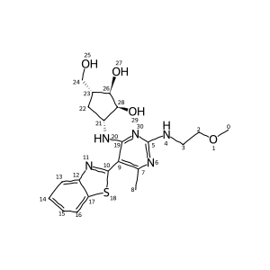 COCCNc1nc(C)c(-c2nc3ccccc3s2)c(N[C@@H]2C[C@H](CO)[C@@H](O)[C@H]2O)n1